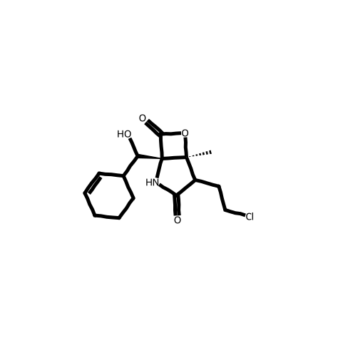 C[C@@]12OC(=O)[C@@]1(C(O)C1C=CCCC1)NC(=O)C2CCCl